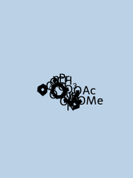 CCCO[C@H]1[C@H](C)OC(=O)[C@@H](NC(=O)c2nccc(OC)c2OCOC(C)=O)CCOC[C@@H]1Oc1ccccc1